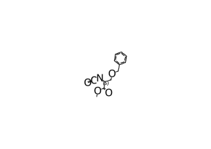 COC(=O)[C@H](COCc1ccccc1)N=C=O